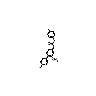 CCCc1ccc(CC(=O)Cc2ccc(-c3ccc(CC)cc3)c(C)c2)cc1